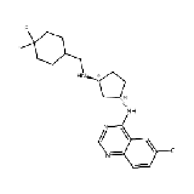 FC1(F)CCC(CN[C@H]2CC[C@H](Nc3ncnc4ccc(Cl)cc34)C2)CC1